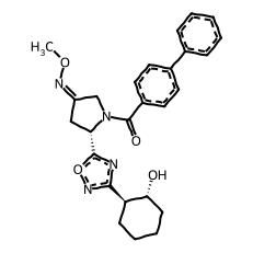 CON=C1C[C@@H](c2nc([C@@H]3CCCC[C@H]3O)no2)N(C(=O)c2ccc(-c3ccccc3)cc2)C1